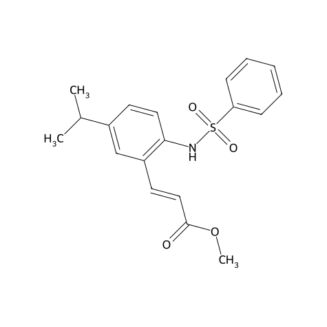 COC(=O)/C=C/c1cc(C(C)C)ccc1NS(=O)(=O)c1ccccc1